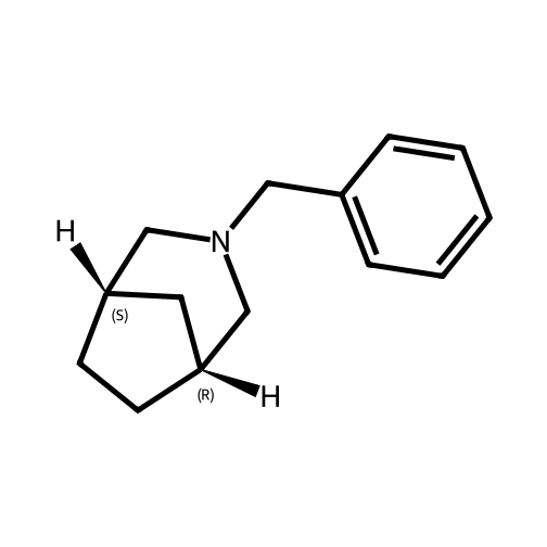 c1ccc(CN2C[C@@H]3CC[C@@H](C3)C2)cc1